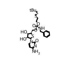 CC(C)(C)SSCCOP(=O)(NCc1ccccc1)OC[C@H]1S[C@@H](n2ccc(N)nc2=O)[C@@H](O)[C@@H]1O